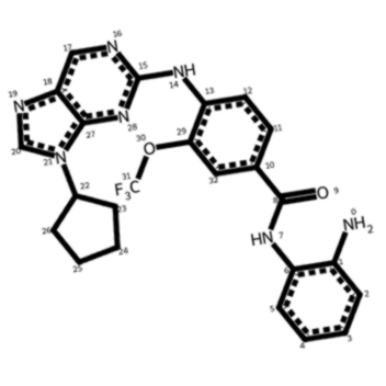 Nc1ccccc1NC(=O)c1ccc(Nc2ncc3ncn(C4CCCC4)c3n2)c(OC(F)(F)F)c1